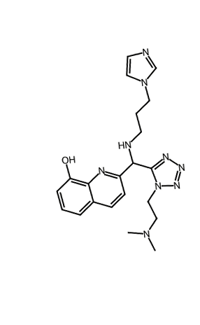 CN(C)CCn1nnnc1C(NCCCn1ccnc1)c1ccc2cccc(O)c2n1